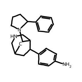 Nc1ccc(C2CC3CNCC2C(N2CCCC2c2ccccc2)C3)cc1